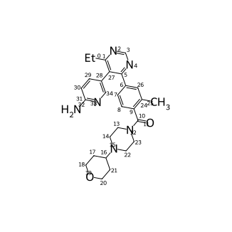 CCc1ncnc(-c2ccc(C(=O)N3CCN(C4CCOCC4)CC3)c(C)c2)c1-c1ccc(N)nc1